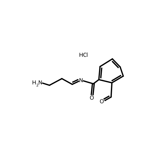 Cl.NCCC=NC(=O)c1ccccc1C=O